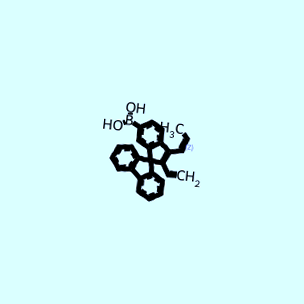 C=CC1=C(/C=C\C)c2ccc(B(O)O)cc2C12c1ccccc1-c1ccccc12